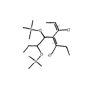 C/C=C(Cl)\C(=C(\Cl)CC)C(O[Si](C)(C)C)C(CC)O[Si](C)(C)C